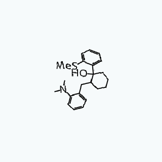 CSc1ccccc1C1(O)CCCCC1Cc1ccccc1N(C)C